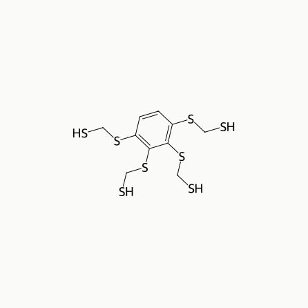 SCSc1ccc(SCS)c(SCS)c1SCS